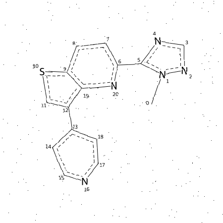 Cn1ncnc1-c1ccc2scc(-c3ccncc3)c2n1